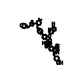 CC1(C)CCC(CN2CCN(c3ccc(C(=O)NS(=O)(=O)c4ccc(NCC5CCC(C)(O)CC5)c([N+](=O)[O-])c4)c(Oc4cnc5[nH]ccc5c4)c3)CC2)=C(c2cc(CN3CCOCC3)cs2)C1